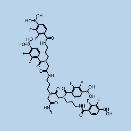 O=C(CN(CCCNC(=O)CN(CCCNC(=O)c1ccc(B(O)O)c(F)c1F)C(=O)c1ccc(B(O)O)c(F)c1F)C(=O)CN(CCCNC(=O)c1ccc(BO)c(F)c1F)C(=O)c1ccc(B(O)O)c(F)c1F)NI